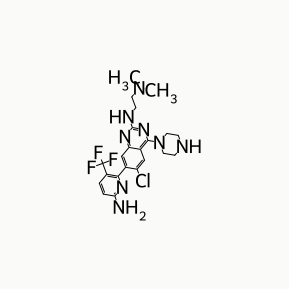 CN(C)CCNc1nc(N2CCNCC2)c2cc(Cl)c(-c3nc(N)ccc3C(F)(F)F)cc2n1